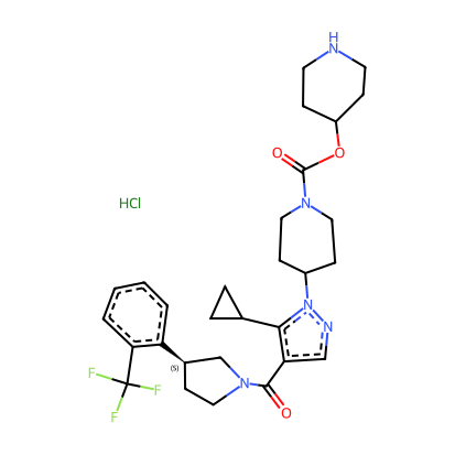 Cl.O=C(OC1CCNCC1)N1CCC(n2ncc(C(=O)N3CC[C@@H](c4ccccc4C(F)(F)F)C3)c2C2CC2)CC1